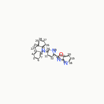 CC1(C)c2ccccc2N(c2ccc(-c3nc4ncccc4o3)nc2)c2ccccc21